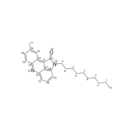 CCCCCCCCCCN1C(=O)c2c3cc(C)ccc3nc3cccc1c23